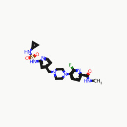 CNC(=O)c1ccc(N2CCN(Cc3ccnc(NS(=O)(=O)NC4CC4)c3)CC2)c(F)n1